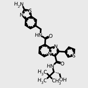 CC(C)(C)[C@@H](CO)NC(=O)c1c(-c2ccsc2)nc2c(C(=O)NCc3ccc4nc(N)sc4c3)cccn12